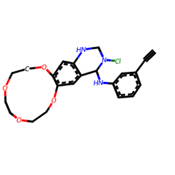 C#Cc1cccc(NC2c3cc4c(cc3NCN2Cl)OCCOCCOCCO4)c1